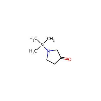 C[Si](C)(C)N1CCC(=O)C1